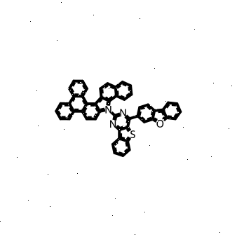 c1ccc2c(c1)ccc1c3c4c5ccccc5c5ccccc5c4ccc3n(-c3nc(-c4ccc5c(c4)oc4ccccc45)c4sc5ccccc5c4n3)c21